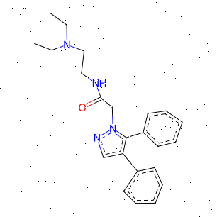 CCN(CC)CCNC(=O)Cn1ncc(-c2ccccc2)c1-c1ccccc1